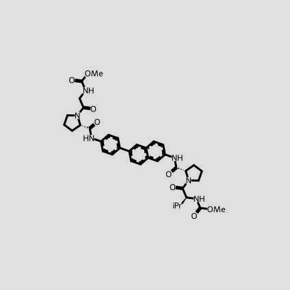 COC(=O)NCC(=O)N1CCC[C@H]1C(=O)Nc1ccc(-c2ccc3cc(NC(=O)[C@@H]4CCCN4C(=O)[C@@H](NC(=O)OC)C(C)C)ccc3c2)cc1